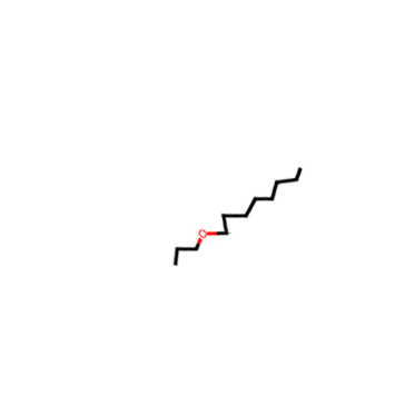 CCCCCCC[CH]OCCC